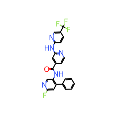 O=C(Nc1cnc(F)cc1-c1ccccc1)c1ccnc(Nc2ccc(C(F)(F)F)cn2)c1